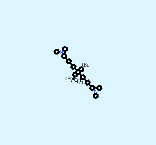 CCCC(C)(C)c1ccc2c(-c3ccc(-c4ccc(-c5ccc6c(c5)c5ccccc5n6-c5ccccc5)cc4)cc3)c3cc(C(C)(C)C)ccc3c(-c3ccc(-c4ccc(-c5ccc6c(c5)c5ccccc5n6-c5ccccc5)cc4)cc3)c2c1